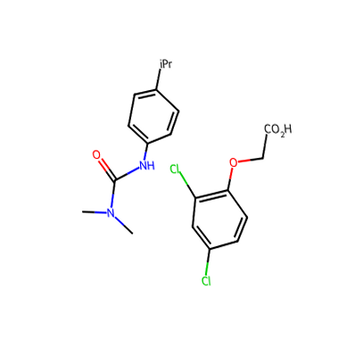 CC(C)c1ccc(NC(=O)N(C)C)cc1.O=C(O)COc1ccc(Cl)cc1Cl